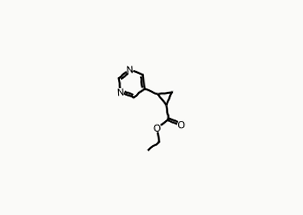 CCOC(=O)C1CC1c1cncnc1